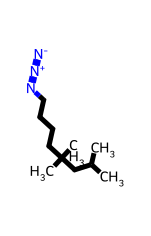 CC(C)CC(C)(C)CCCCN=[N+]=[N-]